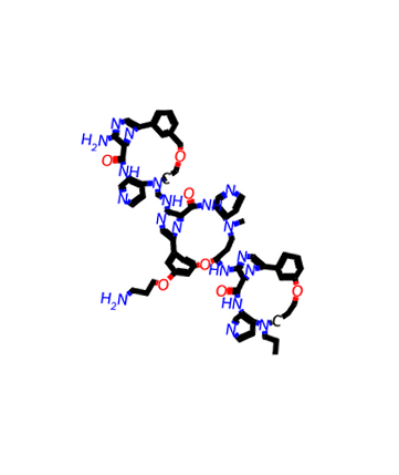 CCCN1CCCOc2cccc(c2)-c2cnc(NC3CCN(C)c4ccncc4NC(=O)c4nc(cnc4NCN4CCOCc5cccc(c5)-c5cnc(N)c(n5)C(=O)Nc5cnccc54)-c4cc(OCCCN)cc(c4)O3)c(n2)C(=O)Nc2cnccc21